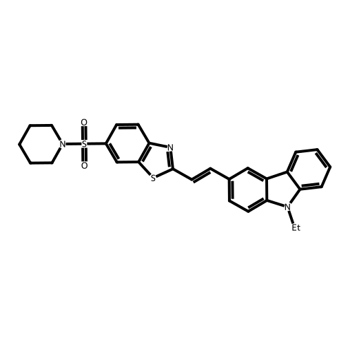 CCn1c2ccccc2c2cc(/C=C/c3nc4ccc(S(=O)(=O)N5CCCCC5)cc4s3)ccc21